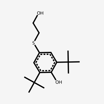 CC(C)(C)c1cc(SCCO)cc(C(C)(C)C)c1O